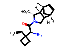 C=CC1([C@H](N)C(=O)N2C[C@H]3[C@@H]([C@H]2C(=O)O)[C@H]2C=C[C@@H]3C2)CCC1